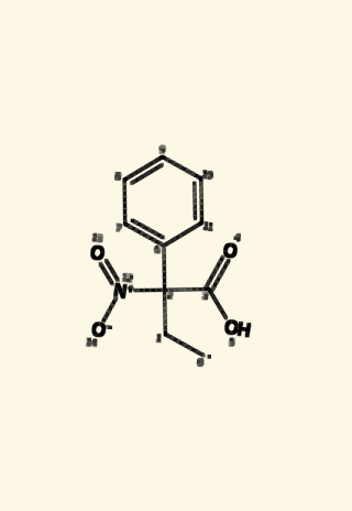 [CH2]CC(C(=O)O)(c1ccccc1)[N+](=O)[O-]